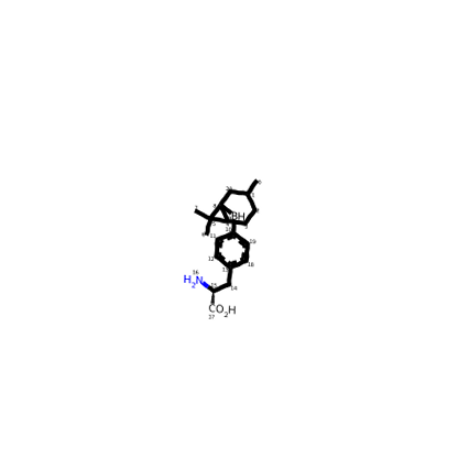 CC1CCC2C(C)(C)C2(Bc2ccc(C[C@H](N)C(=O)O)cc2)C1